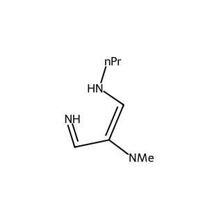 CCCN/C=C(\C=N)NC